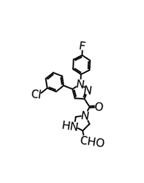 O=CC1CN(C(=O)c2cc(-c3cccc(Cl)c3)n(-c3ccc(F)cc3)n2)CN1